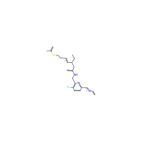 C=C/N=C/c1ccc(F)c(CNC(=C)CC(/C=C/CCSC(=C)C)CC)n1